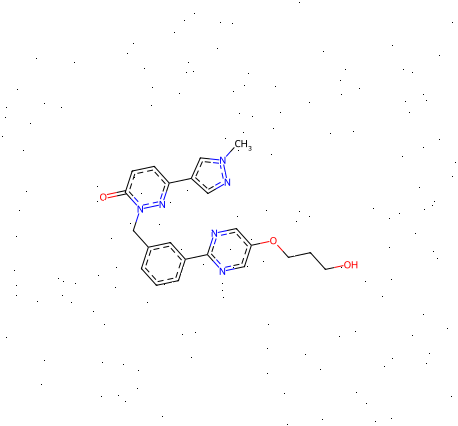 Cn1cc(-c2ccc(=O)n(Cc3cccc(-c4ncc(OCCCO)cn4)c3)n2)cn1